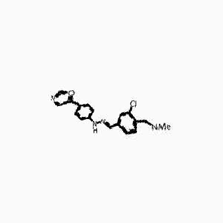 CNCc1ccc(C=NNc2ccc(-c3cnco3)cc2)cc1Cl